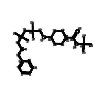 CC(C)(COCc1ccccc1)CC(C)(C)COC1CCN(C(=O)OC(C)(C)C)CC1